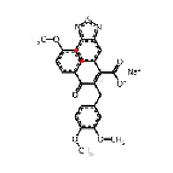 COc1ccc(C(=O)/C(Cc2ccc(OC)c(OC)c2)=C(/C(=O)[O-])c2ccc3nsnc3c2)cc1.[Na+]